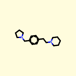 c1cc(CN2CCCC2)ccc1CCN1CCCCC1